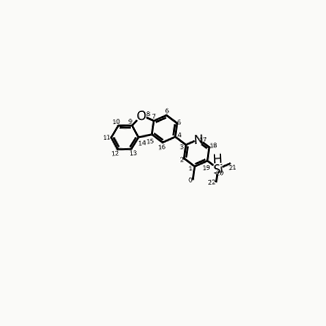 Cc1cc(-c2ccc3oc4ccccc4c3c2)ncc1[SiH](C)C